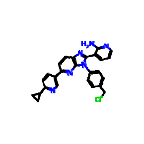 Nc1ncccc1-c1nc2ccc(-c3ccc(C4CC4)nc3)nc2n1-c1ccc(CCl)cc1